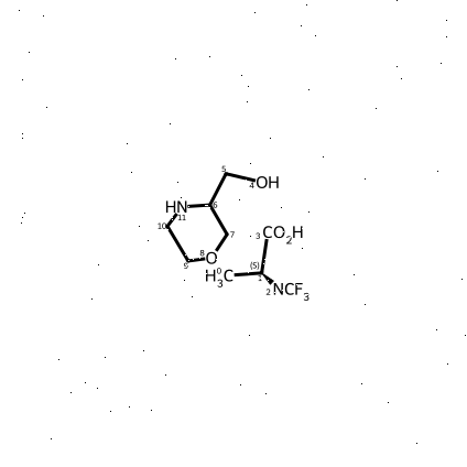 C[C@H](NC(F)(F)F)C(=O)O.OCC1COCCN1